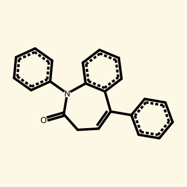 O=C1CC=C(c2ccccc2)c2ccccc2N1c1ccccc1